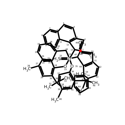 CC1=Cc2ccc3ccccc3c2[CH]1[Zr](=[SiH2])([CH2]c1ccccc1)([O]c1ccc(C)cc1C(C)(C)C)([O]c1ccc(C)cc1C(C)(C)C)[CH]1C(C)=Cc2ccc3ccccc3c21